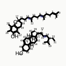 CC(C)=CCC/C(C)=C/CC/C(C)=C/CC[C@]1(C)CCc2c(C)c(O)c(C)c(C)c2O1.CC[C@H](/C=C/[C@@H](C)[C@H]1CC[C@H]2[C@@H]3CC=C4C[C@@H](O)CC[C@]4(C)[C@H]3CC[C@]12C)C(C)C